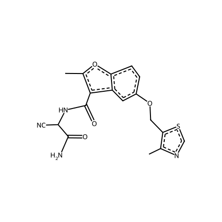 Cc1ncsc1COc1ccc2oc(C)c(C(=O)NC(C#N)C(N)=O)c2c1